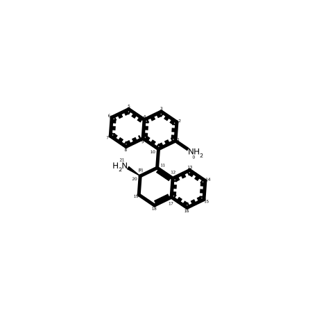 Nc1ccc2ccccc2c1C1=c2ccccc2=CC[C@H]1N